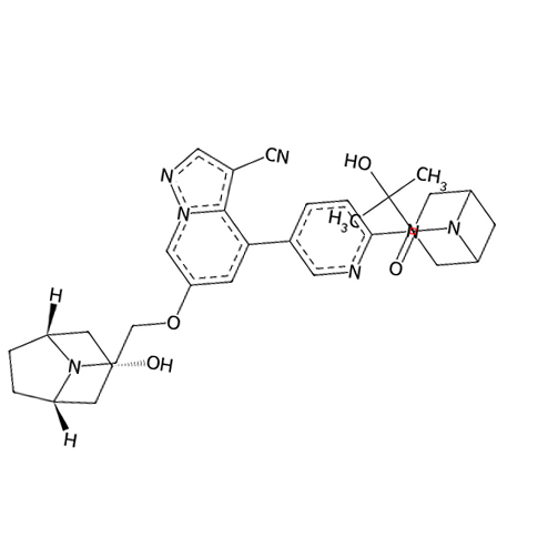 CC(C)(O)C(=O)N1C2CC1CN(c1ccc(-c3cc(OCCN4[C@@H]5CC[C@H]4C[C@@H](O)C5)cn4ncc(C#N)c34)cn1)C2